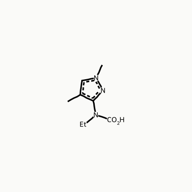 CCN(C(=O)O)c1nn(C)cc1C